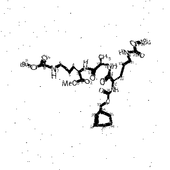 COC(=O)[C@@H](CCCNC(=O)OC(C)(C)C)NC(=O)[C@@H](C)NC(=O)[C@@H](CCCNC(=O)OC(C)(C)C)NC(=O)OCc1ccccc1